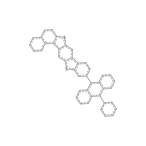 c1ccc(-c2c3ccccc3c(-c3ccc4c(c3)sc3cc5c(cc34)sc3ccc4ccccc4c35)c3ccccc23)cc1